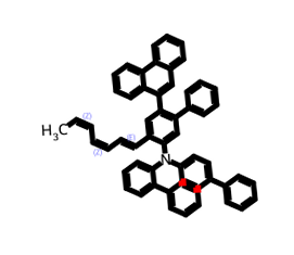 C\C=C/C=C\C=C\c1cc(-c2cc3ccccc3c3ccccc23)c(-c2ccccc2)cc1N(c1ccc(-c2ccccc2)cc1)c1ccccc1-c1ccccc1